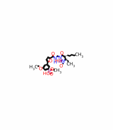 CCCCC[C@@H](C(=O)NCNC(=O)c1ccc(-c2cc(OCC)cc(P(=O)(O)OC)c2)o1)[C@@H](CC)N(O)C=O